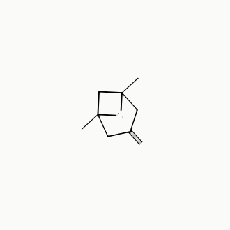 CC12CC(=O)CC(C)(C1)N2